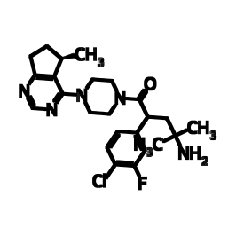 C[C@@H]1CCc2ncnc(N3CCN(C(=O)C(CC(C)(C)N)c4ccc(Cl)c(F)c4)CC3)c21